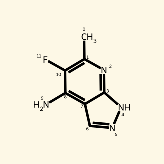 Cc1nc2[nH]ncc2c(N)c1F